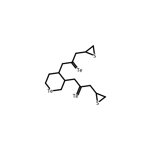 [Te]=C(CC1CS1)CC1CC[Te]CC1CC(=[Te])CC1CS1